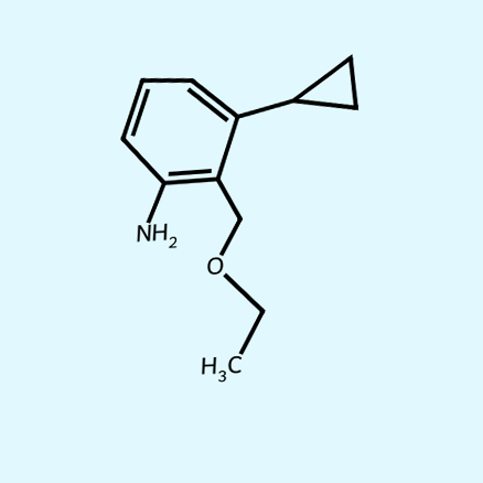 CCOCc1c(N)cccc1C1CC1